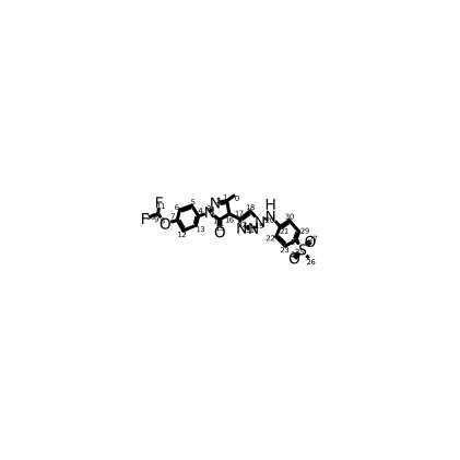 CC1=NN(c2ccc(OC(F)F)cc2)C(=O)C1c1cn(Nc2ccc(S(C)(=O)=O)cc2)nn1